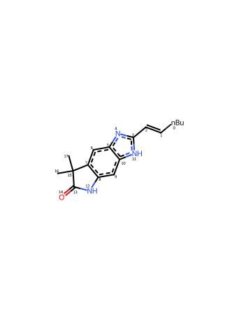 CCCC/C=C/c1nc2cc3c(cc2[nH]1)NC(=O)C3(C)C